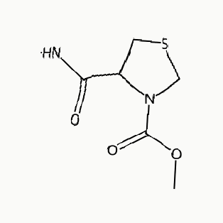 COC(=O)N1CSCC1C([NH])=O